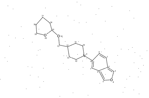 c1cc2cocc2cc1N1CCC(COC2CCCCO2)CC1